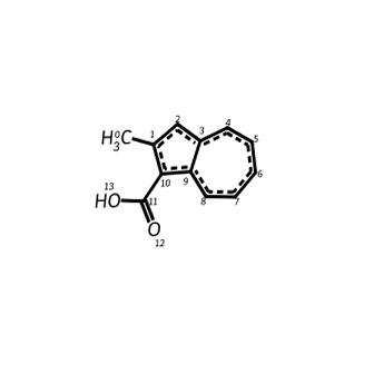 Cc1cc2cccccc-2c1C(=O)O